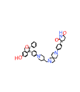 O=C1CC[C@H](c2ccc(N3CCC4(CCN(CC5CCN(c6ccc([C@@H]7c8ccc(O)cc8CO[C@@H]7c7ccccc7)cc6)CC5)C4)CC3)cc2)C(=O)N1